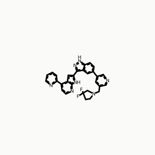 FC1(F)CCN(Cc2cncc(-c3ccc4[nH]nc(-c5cc6c(-c7ccccn7)ccnc6[nH]5)c4c3)c2)C1